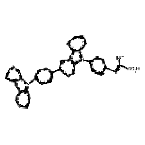 [C-]#[N+]/C(=C\c1ccc(-n2c3ccccc3c3cc(-c4ccc(-n5c6ccccc6c6ccccc65)cc4)ccc32)cc1)C(=O)O